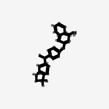 CN(c1ccc(Oc2nc(O)c3ccncc3n2)cc1)c1ccc2c(c1)OCC2(C)C